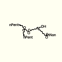 CCCCCC#CCCOC(CCC(=O)OCCCCCCN(CCO)CCCCCCCC(=O)OCCCCCCCCC)OCCC#CCCCCC